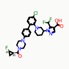 O=C(O)c1cnn(C2CCCN(c3cc(Cl)ccc3-c3ccc(N4CCN(C(=O)[C@H]5C[C@H]5F)CC4)cc3)C2)c1C(F)F